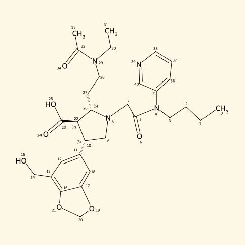 CCCCN(C(=O)CN1C[C@H](c2cc(CO)c3c(c2)OCO3)[C@@H](C(=O)O)[C@@H]1CCN(CC)C(C)=O)c1cccnc1